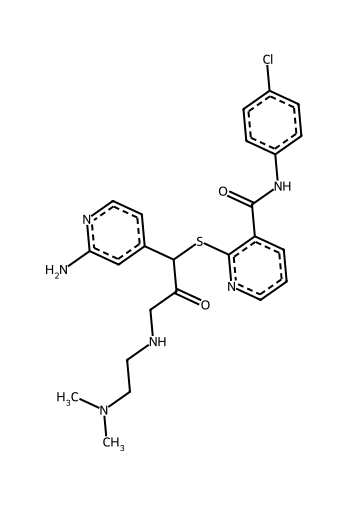 CN(C)CCNCC(=O)C(Sc1ncccc1C(=O)Nc1ccc(Cl)cc1)c1ccnc(N)c1